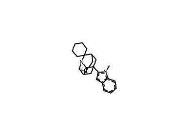 C[C@H]1N2CC3CC(CC1(c1cc4ccccc4n1C)C3)C21CCCCC1